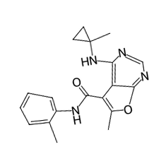 Cc1ccccc1NC(=O)c1c(C)oc2ncnc(NC3(C)CC3)c12